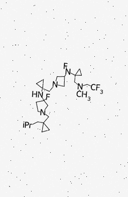 CC(C)CC1(CN2CCC(F)(NC3(CN4CC(N(F)C5(CN(C)CC(F)(F)F)CC5)C4)CC3)C2)CC1